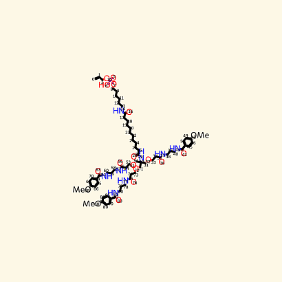 C=CCOP(=O)(O)OCCCCCCNC(=O)CCCCCCCCCCC(=O)NC(COCCC(=O)NCCCNC(=O)c1ccc(OC)cc1)(COCCC(=O)NCCCNC(=O)c1ccc(OC)cc1)COCCC(=O)NCCCNC(=O)c1ccc(OC)cc1